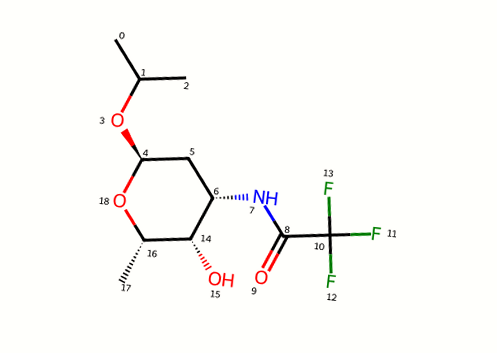 CC(C)O[C@H]1C[C@H](NC(=O)C(F)(F)F)[C@H](O)[C@H](C)O1